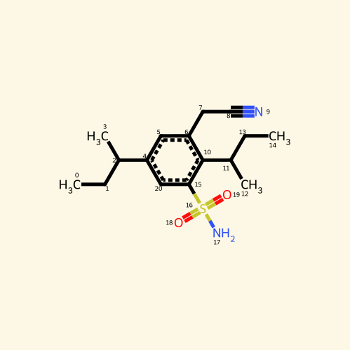 CCC(C)c1cc(CC#N)c(C(C)CC)c(S(N)(=O)=O)c1